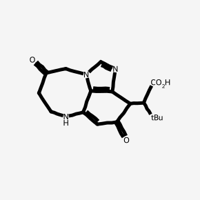 CC(C)(C)C(C(=O)O)C1C(=O)C=C2NCCC(=O)Cn3cnc1c32